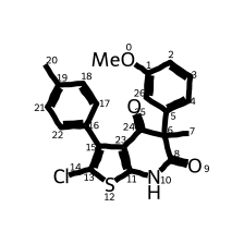 COc1cccc(C2(C)C(=O)Nc3sc(Cl)c(-c4ccc(C)cc4)c3C2=O)c1